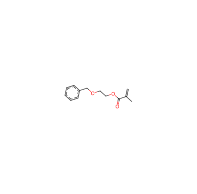 C=C(C)C(=O)OCCOCc1ccccc1